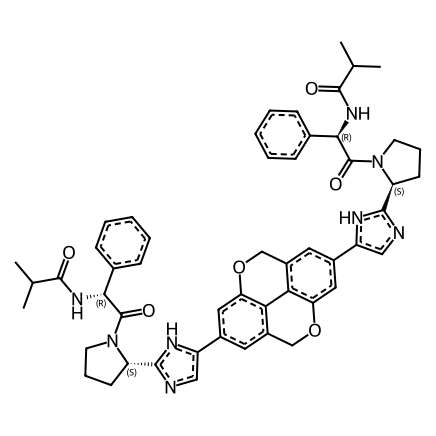 CC(C)C(=O)N[C@@H](C(=O)N1CCC[C@H]1c1ncc(-c2cc3c4c(c2)OCc2cc(-c5cnc([C@@H]6CCCN6C(=O)[C@H](NC(=O)C(C)C)c6ccccc6)[nH]5)cc(c2-4)OC3)[nH]1)c1ccccc1